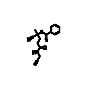 C#CCNC(=O)CCC(C)(C#N)SC(=S)c1ccccc1